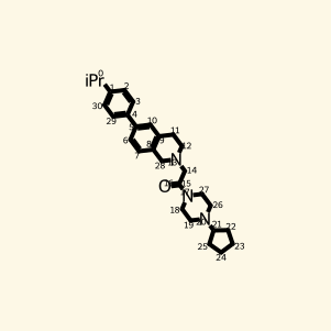 CC(C)c1ccc(-c2ccc3c(c2)CCN(CC(=O)N2CCN(C4CCCC4)CC2)C3)cc1